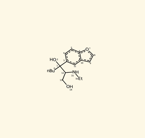 CCCCC(O)(c1ccc2occc2c1)C(CO)NCC